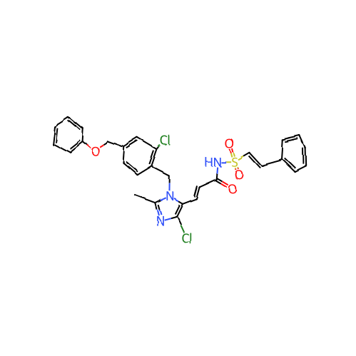 Cc1nc(Cl)c(C=CC(=O)NS(=O)(=O)C=Cc2ccccc2)n1Cc1ccc(COc2ccccc2)cc1Cl